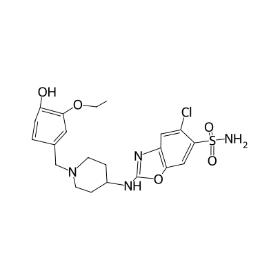 CCOc1cc(CN2CCC(Nc3nc4cc(Cl)c(S(N)(=O)=O)cc4o3)CC2)ccc1O